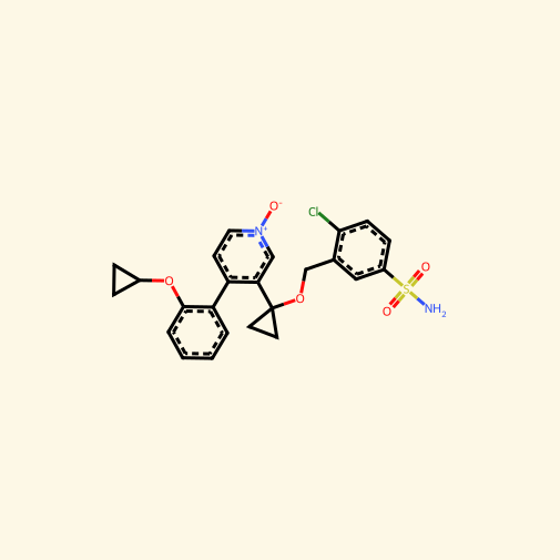 NS(=O)(=O)c1ccc(Cl)c(COC2(c3c[n+]([O-])ccc3-c3ccccc3OC3CC3)CC2)c1